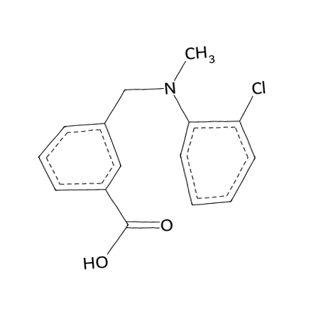 CN(Cc1cccc(C(=O)O)c1)c1ccccc1Cl